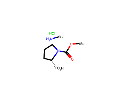 CC(C)(C)OC(=O)N1CCC[C@H]1C(=O)O.CCN.Cl